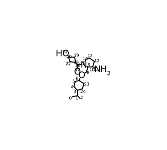 CC(C)C1CCC(OCC2C(N)CCCN2C(=O)C2CC(O)C2)CC1